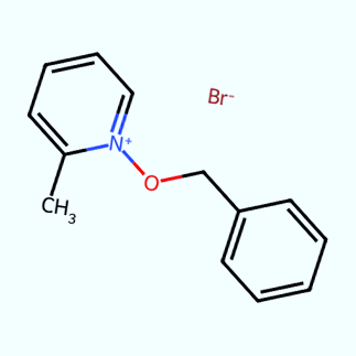 Cc1cccc[n+]1OCc1ccccc1.[Br-]